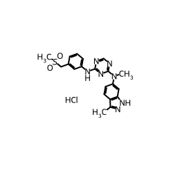 Cc1n[nH]c2cc(N(C)c3ncnc(Nc4cccc(CS(C)(=O)=O)c4)n3)ccc12.Cl